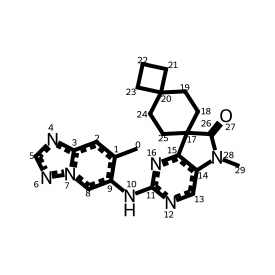 Cc1cc2ncnn2cc1Nc1ncc2c(n1)C1(CCC3(CCC3)CC1)C(=O)N2C